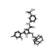 Cc1ccc(-c2nc(C(=O)Nc3cccc(C(=O)O)c3)c(CCC34CC5CC(CC(C5)C3)C4)[nH]2)c(C)c1